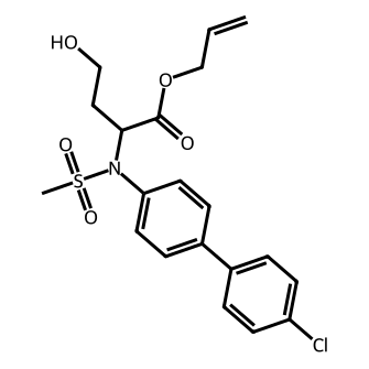 C=CCOC(=O)C(CCO)N(c1ccc(-c2ccc(Cl)cc2)cc1)S(C)(=O)=O